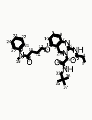 CCC(=O)NC1=Nc2cccc(OCCCC(=O)N(C)c3ccccc3)c2CN1CC(=O)NCC(C)(C)C